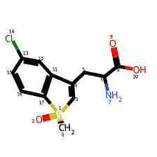 C=S1(=O)C=C(CC(N)C(=O)O)c2cc(Cl)ccc21